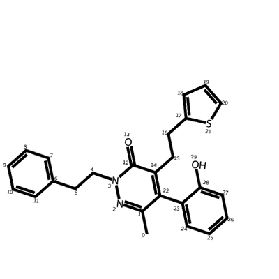 Cc1nn(CCc2ccccc2)c(=O)c(CCc2cccs2)c1-c1ccccc1O